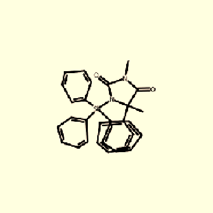 CN1C(=O)N([Si](c2ccccc2)(c2ccccc2)c2ccccc2)C(C)(c2ccccc2)C1=O